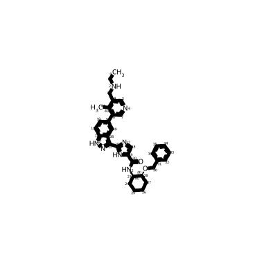 CCNCc1cncc(-c2ccc3[nH]nc(-c4ncc(C(=O)N[C@@H]5CCCC[C@H]5OCc5ccccc5)[nH]4)c3c2)c1C